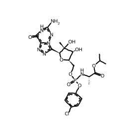 CC(C)OC(=O)[C@H](C)NP(=O)(OC[C@H]1O[C@@H](c2nnc3c(=O)[nH]c(N)nn23)[C@](C)(O)[C@@H]1O)Oc1ccc(Cl)cc1